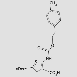 CCCCCCCCCCc1cc(C(=O)O)c(NC(=O)OCCc2ccc(C)cc2)s1